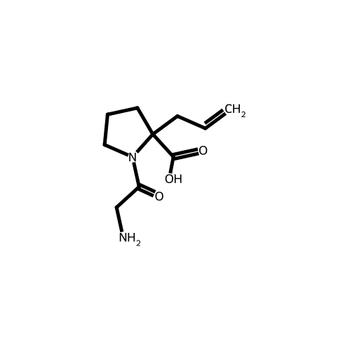 C=CCC1(C(=O)O)CCCN1C(=O)CN